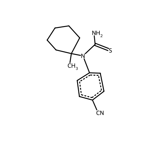 CC1(N(C(N)=S)c2ccc(C#N)cc2)CCCCC1